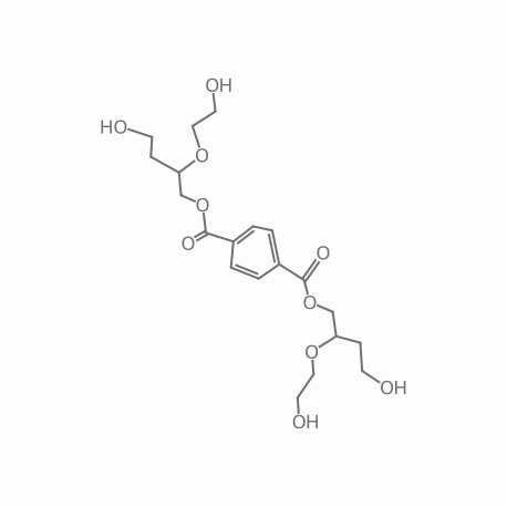 O=C(OCC(CCO)OCCO)c1ccc(C(=O)OCC(CCO)OCCO)cc1